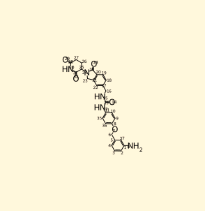 Nc1cccc(COc2ccc(NC(=O)NCc3ccc4c(c3)CN(C3CCC(=O)NC3=O)C4=O)cc2)c1